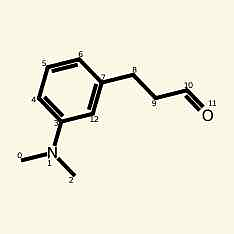 CN(C)c1cccc(CCC=O)c1